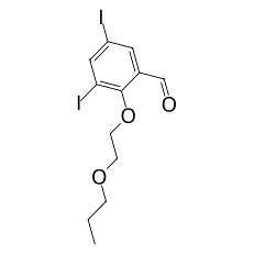 CCCOCCOc1c(I)cc(I)cc1C=O